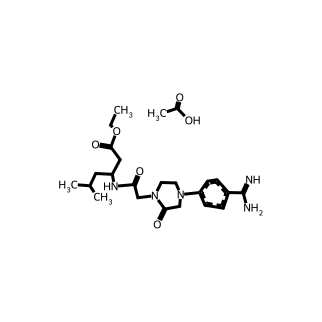 CC(=O)O.CCOC(=O)CC(CC(C)C)NC(=O)CN1CCN(c2ccc(C(=N)N)cc2)CC1=O